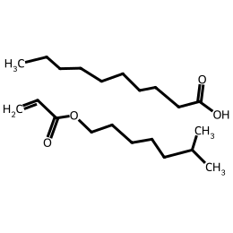 C=CC(=O)OCCCCCC(C)C.CCCCCCCCCC(=O)O